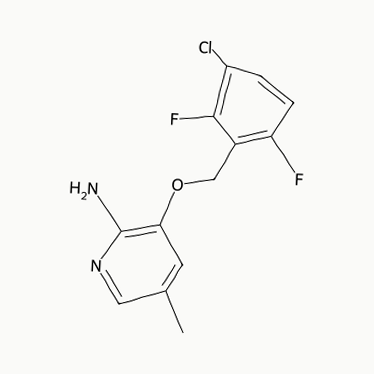 Cc1cnc(N)c(OCc2c(F)ccc(Cl)c2F)c1